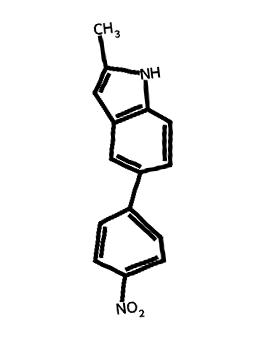 Cc1cc2cc(-c3ccc([N+](=O)[O-])cc3)ccc2[nH]1